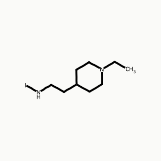 CCN1CCC(CCNI)CC1